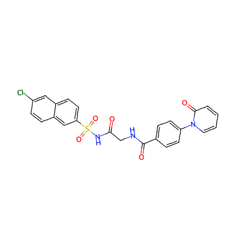 O=C(CNC(=O)c1ccc(-n2ccccc2=O)cc1)NS(=O)(=O)c1ccc2cc(Cl)ccc2c1